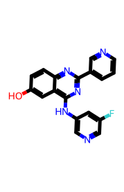 Oc1ccc2nc(-c3cccnc3)nc(Nc3cncc(F)c3)c2c1